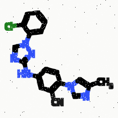 Cc1cn(-c2ccc(Nc3ncn(-c4ccccc4Cl)n3)cc2C#N)cn1